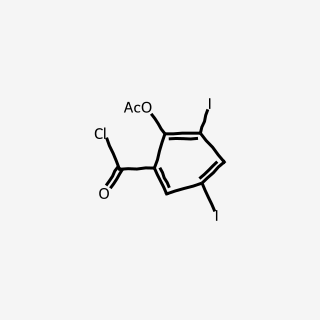 CC(=O)Oc1c(I)cc(I)cc1C(=O)Cl